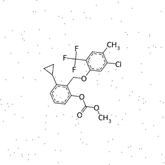 COC(=O)Oc1cccc(C2CC2)c1COc1cc(Cl)c(C)cc1C(F)(F)F